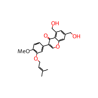 COc1ccc(-c2coc3cc(CO)cc(CO)c3c2=O)cc1OCC=C(C)C